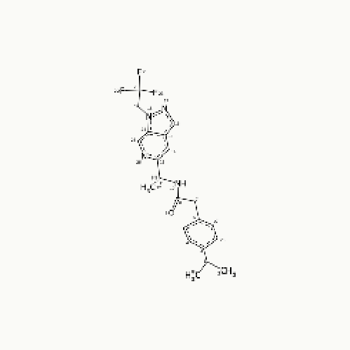 CC(C)c1ccc(CC(=O)N[C@H](C)c2cc3cnn(CC(F)(F)F)c3cn2)cc1